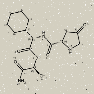 C[C@H](NC(=O)[C@@H](NC(=O)[C@@H]1CC(=O)CN1)C1CCCCC1)C(N)=O